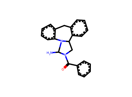 NC1N(C(=O)c2ccccc2)CC2c3ccccc3Cc3ccccc3N21